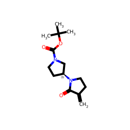 C=C1CCN([C@H]2CCN(C(=O)OC(C)(C)C)C2)C1=O